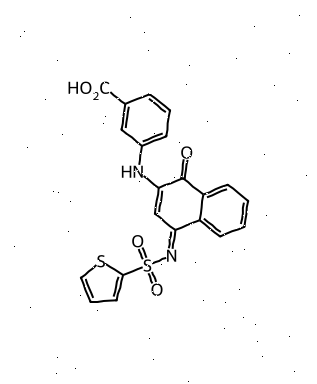 O=C(O)c1cccc(NC2=CC(=NS(=O)(=O)c3cccs3)c3ccccc3C2=O)c1